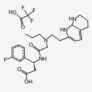 CCCN(CCC1=CC=C2CCCNC2N1)CC(=O)N[C@@H](CC(=O)O)c1cccc(F)c1.O=C(O)C(F)(F)F